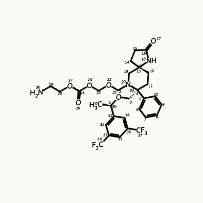 C[C@@H](OC[C@@]1(c2ccccc2)CC[C@]2(CCC(=O)N2)CN1COCOC(=O)OCCN)c1cc(C(F)(F)F)cc(C(F)(F)F)c1